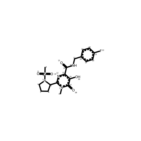 Cn1c(C2CCCN2S(C)(=O)=O)nc(C(=O)NCc2ccc(F)cc2)c(O)c1=O